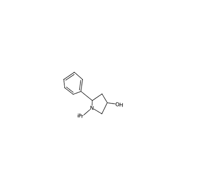 CC(C)N1CC(O)CC1c1ccccc1